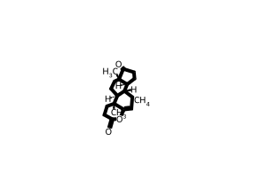 C.C[C@]12CCC(=O)OC1=CC[C@@H]1[C@@H]2CC[C@]2(C)C(=O)CC[C@@H]12